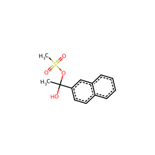 CC(O)(OS(C)(=O)=O)c1ccc2ccccc2c1